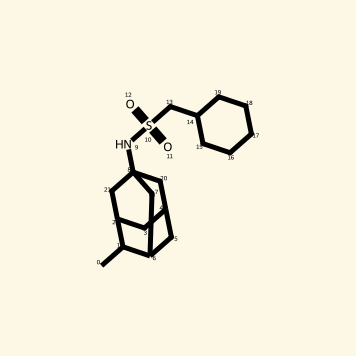 CC1C2CC3CC1CC(NS(=O)(=O)CC1CCCCC1)(C3)C2